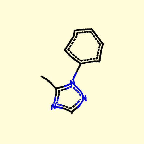 Cc1n[c]nn1-c1ccccc1